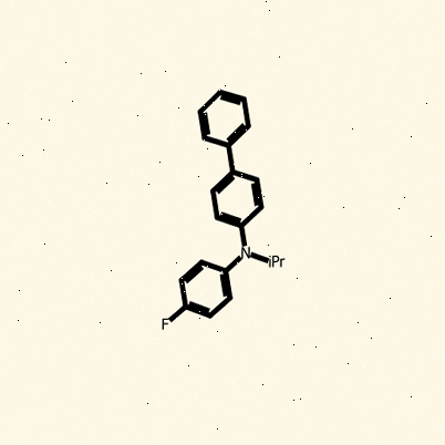 CC(C)N(c1ccc(F)cc1)c1ccc(-c2ccccc2)cc1